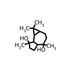 CC1(O)CCC2C(C3C1CCC3(C)O)C2(C)C